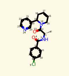 C[C@H](NC(=O)c1ccc(Cl)cc1)C(=O)N1CC=CCC1c1cccnc1